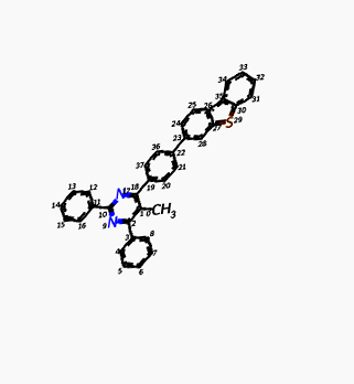 Cc1c(-c2ccccc2)nc(-c2ccccc2)nc1-c1ccc(-c2ccc3c(c2)sc2ccccc23)cc1